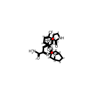 NC(=O)c1cc(NC2CCNC2=O)nc(N2C3CCC2CC(Oc2ccc(C(F)(F)F)cc2)C3)n1